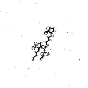 CCCCCC(CC)C(=O)O.CCCCCC(CC)C(=O)O.CCOC(=O)C1CO1